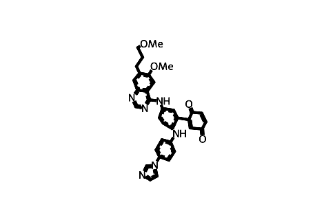 COCCCc1cc2ncnc(Nc3ccc(Nc4ccc(-n5ccnc5)cc4)c(C4=CC(=O)C=CC4=O)c3)c2cc1OC